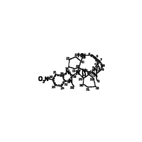 Cn1c2nc3cc(ccc31)NC1CCCCC1(N(c1nc3cc([N+](=O)[O-])ccc3n1C)C1CCCCC1)N2